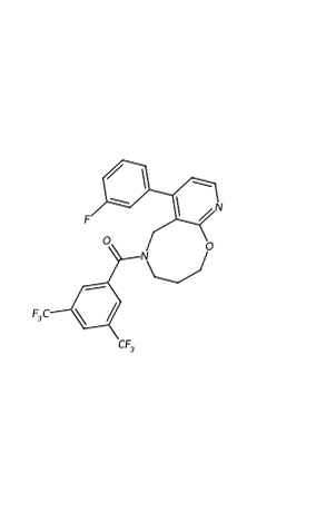 O=C(c1cc(C(F)(F)F)cc(C(F)(F)F)c1)N1CCCOc2nccc(-c3cccc(F)c3)c2C1